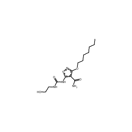 CCCCCCCOc1nsc(NC(=O)NCCO)c1C(N)=O